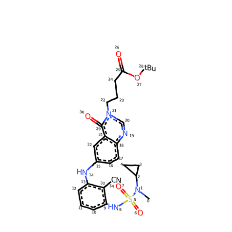 CN(C1CC1)S(=O)(=O)Nc1cccc(Nc2ccc3ncn(CCCC(=O)OC(C)(C)C)c(=O)c3c2)c1C#N